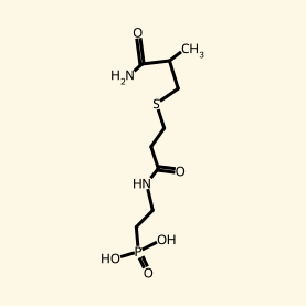 CC(CSCCC(=O)NCCP(=O)(O)O)C(N)=O